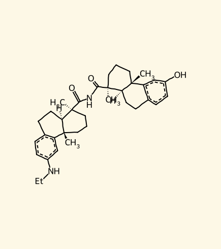 CCNc1ccc2c(c1)[C@@]1(C)CCC[C@](C)(C(=O)NC(=O)[C@@]3(C)CCC[C@]4(C)c5cc(O)ccc5CC[C@@H]34)[C@@H]1CC2